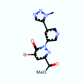 COC(=O)c1cc(Br)c(=O)n(-c2cncc(-c3cnnn3C)c2)n1